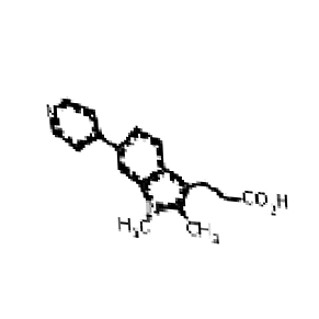 Cc1c(CCC(=O)O)c2ccc(-c3ccncc3)cc2n1C